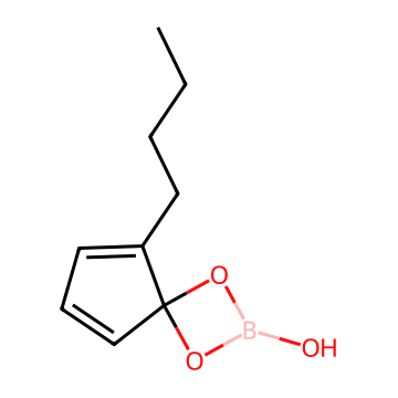 CCCCC1=CC=CC12OB(O)O2